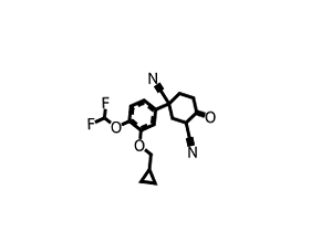 N#CC1CC(C#N)(c2ccc(OC(F)F)c(OCC3CC3)c2)CCC1=O